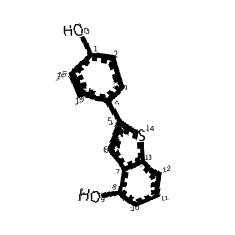 Oc1ccc(-c2[c]c3c(O)cccc3s2)cc1